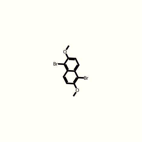 COc1ccc2c(Br)c(OC)ccc2c1Br